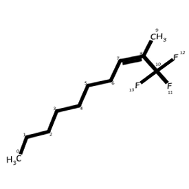 CCCCCCCC=C(C)C(F)(F)F